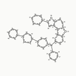 c1ccc(-c2ccc(-c3ccc(N(c4ccccc4)c4ccc5oc6ccc7oc(-c8ccccc8)nc7c6c5c4)cc3)cc2)cc1